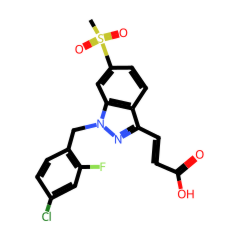 CS(=O)(=O)c1ccc2c(C=CC(=O)O)nn(Cc3ccc(Cl)cc3F)c2c1